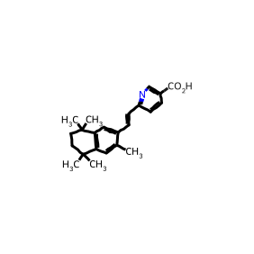 Cc1cc2c(cc1C=Cc1ccc(C(=O)O)cn1)C(C)(C)CCC2(C)C